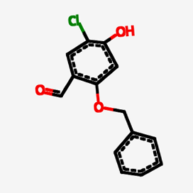 O=Cc1cc(Cl)c(O)cc1OCc1ccccc1